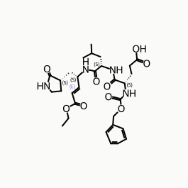 CCOC(=O)/C=C/[C@H](C[C@@H]1CCNC1=O)NC(=O)[C@H](CC(C)C)NC(=O)[C@H](CCC(=O)O)NC(=O)OCc1ccccc1